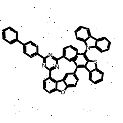 c1ccc(-c2ccc(-c3nc(-c4ccccc4)nc(-c4cccc5oc6ccc(-c7ccc(-n8c9ccccc9c9ccccc98)c8sc9ccccc9c78)cc6c45)n3)cc2)cc1